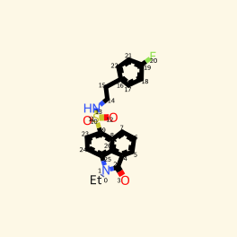 CCN1C(=O)c2cccc3c(S(=O)(=O)NCCc4ccc(F)cc4)ccc1c23